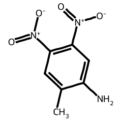 Cc1cc([N+](=O)[O-])c([N+](=O)[O-])cc1N